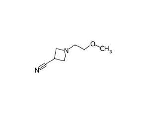 COCCN1CC(C#N)C1